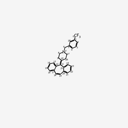 FC(F)(F)c1cccc(CN2CCC(=C3c4ccccc4C=Cc4ccccc43)CC2)c1